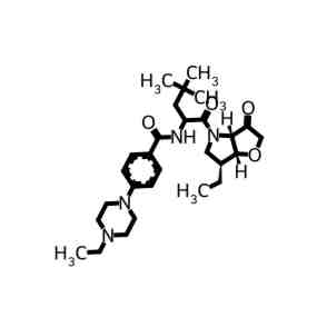 CC[C@H]1CN(C(=O)C(CC(C)(C)C)NC(=O)c2ccc(N3CCN(CC)CC3)cc2)[C@@H]2C(=O)CO[C@H]12